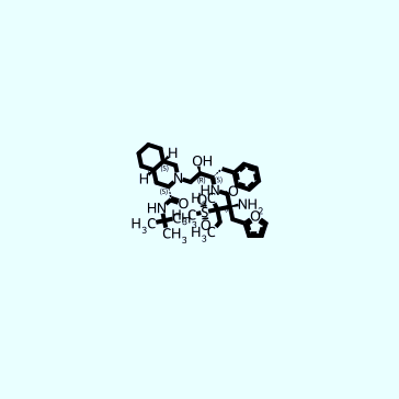 CCC(C)([C@@](N)(Cc1ccco1)C(=O)N[C@@H](Cc1ccccc1)[C@H](O)CN1C[C@H]2CCCC[C@H]2C[C@H]1C(=O)NC(C)(C)C)S(C)(=O)=O